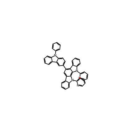 c1ccc(-n2c3ccccc3c3cc(-c4cc5c6ccccc6n(-c6ccccn6)c5c5c4c4ccccc4n5-c4ccccn4)ccc32)cc1